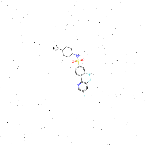 CC1CCC(NS(=O)(=O)c2ccc(-c3ncc(F)cc3F)c(F)c2)CC1